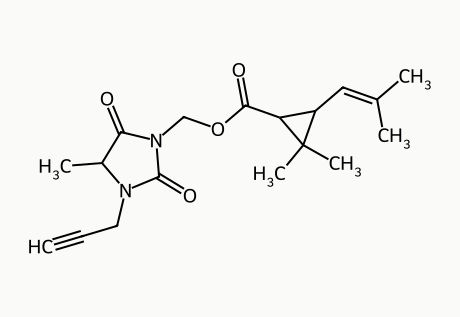 C#CCN1C(=O)N(COC(=O)C2C(C=C(C)C)C2(C)C)C(=O)C1C